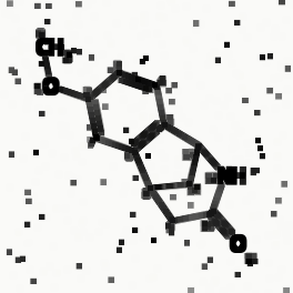 COc1ccc2c(c1)C1CC(=O)NC2C1